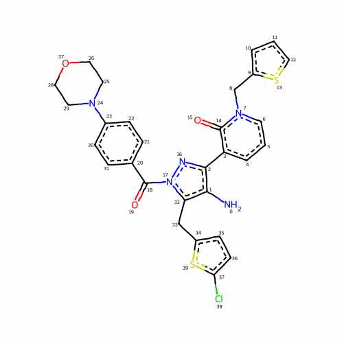 Nc1c(-c2cccn(Cc3cccs3)c2=O)nn(C(=O)c2ccc(N3CCOCC3)cc2)c1Cc1ccc(Cl)s1